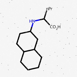 CCCC(NC1CCC2CCCCC2C1)C(=O)O